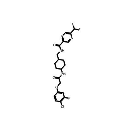 O=C(COc1ccc(Cl)c(F)c1)NC1CCC(CNC(=O)c2cnc(C(F)F)cn2)CC1